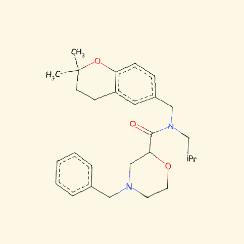 CC(C)CN(Cc1ccc2c(c1)CCC(C)(C)O2)C(=O)C1CN(Cc2ccccc2)CCO1